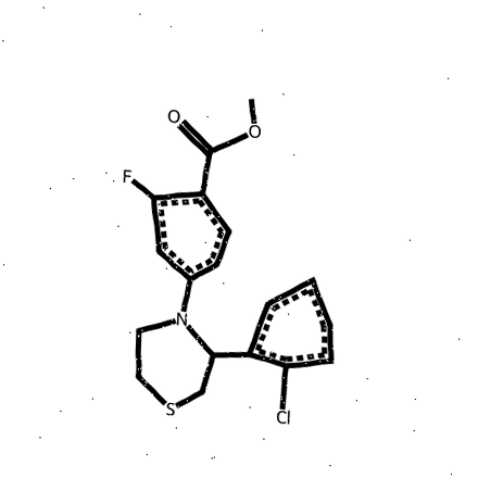 COC(=O)c1ccc(N2CCSCC2c2ccccc2Cl)cc1F